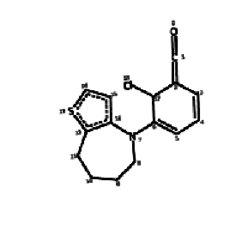 O=C=C1[C]=CC=C(N2CCCCc3sccc32)C1Cl